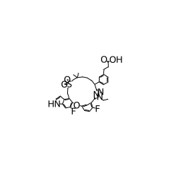 CCn1nc2nc1-c1cc(ccc1F)Oc1c(F)cc3[nH]ccc3c1CCS(=O)(=O)CC(C)(C)CCCC2c1cccc(CCC(=O)O)c1